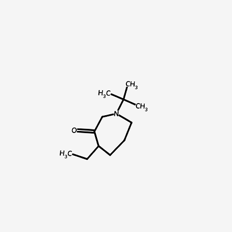 CCC1CCCN(C(C)(C)C)CC1=O